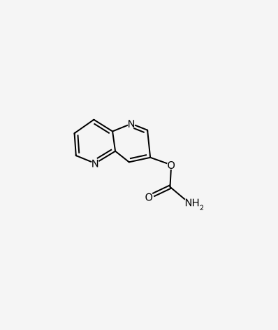 NC(=O)Oc1cnc2cccnc2c1